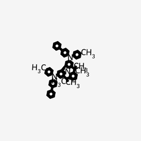 Cc1ccc(N(c2ccc(-c3ccccc3)cc2)c2cc3c4c(c2)c2cc(N(c5ccc(C)cc5)c5ccc(-c6ccccc6)cc5)cc5c2n4-c2c(cccc2C5(C)C)C3(C)C)cc1